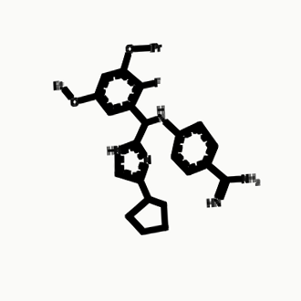 CCOc1cc(OC(C)C)c(F)c(C(Nc2ccc(C(=N)N)cc2)c2nc(C3CCCC3)c[nH]2)c1